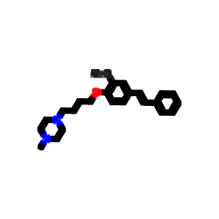 COc1cc(C=Cc2ccccc2)ccc1OCCCCN1CCN(C)CC1